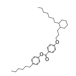 CCCCCCCC1CCCCC1CCCOc1ccc(C(=O)Oc2ccc(CCCCCC)cc2)cc1